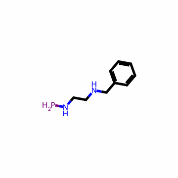 PNCCNCc1ccccc1